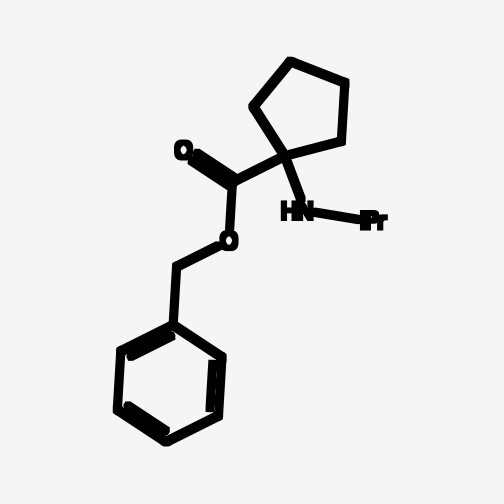 CC(C)NC1(C(=O)OCc2ccccc2)CCCC1